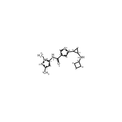 Cc1cc(NC(=O)c2csc(C3CC3NC3CCC3)c2)n(C)n1